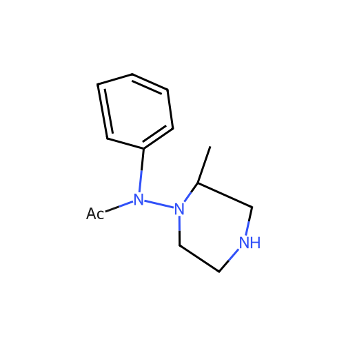 CC(=O)N(c1ccccc1)N1CCNCC1C